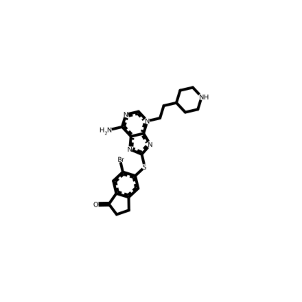 Nc1ncn(CCC2CCNCC2)c2nc(Sc3cc4c(cc3Br)C(=O)CC4)nc1-2